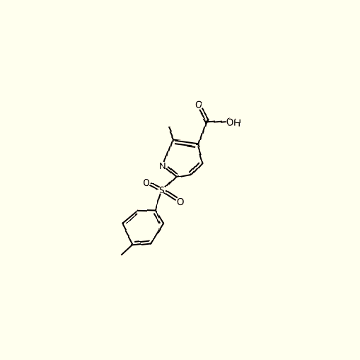 Cc1ccc(S(=O)(=O)c2ccc(C(=O)O)c(C)n2)cc1